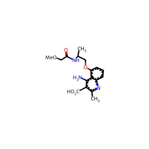 COCC(=O)NC(C)COc1cccc2nc(C)c(C(=O)O)c(N)c12